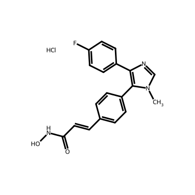 Cl.Cn1cnc(-c2ccc(F)cc2)c1-c1ccc(C=CC(=O)NO)cc1